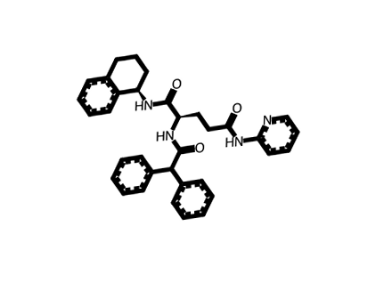 O=C(CC[C@@H](NC(=O)C(c1ccccc1)c1ccccc1)C(=O)N[C@@H]1CCCc2ccccc21)Nc1ccccn1